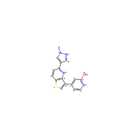 Cn1cc(-c2ccc3scc(-c4ccnc(O)c4)c3n2)cn1